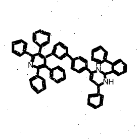 C1=C(c2ccc(-c3cccc(-c4c(-c5ccccc5)c(-c5ccccc5)nc(-c5ccccc5)c4-c4ccccc4)c3)cc2)NC(c2ccccc2-c2ccccc2)NC1c1ccccc1